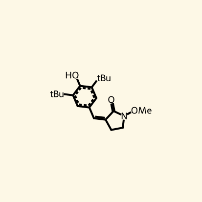 CON1CC/C(=C/c2cc(C(C)(C)C)c(O)c(C(C)(C)C)c2)C1=O